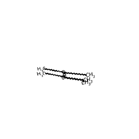 CCCCCCCCCCCCCCCCCC(=O)OCCCCCCCCCCCCCCCC.CCCCCCCCCCCCCCCCOC(=O)CCCCCCCCCCCCCCC(C)C